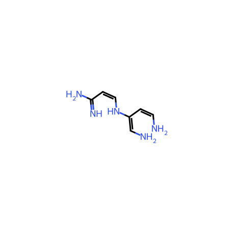 N=C(N)/C=C\NC(/C=C\N)=C/N